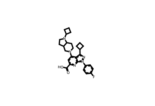 O=C(O)c1cc(N2CCC3C(CCN3C3CCC3)C2)c2c(C3CCC3)nn(-c3ccc(F)cc3)c2n1